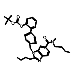 CCCCc1nc2ccc(C(=O)N(C)CCCC)cc2n1Cc1ccc(-c2ccccc2OC(=O)OC(C)(C)C)cc1